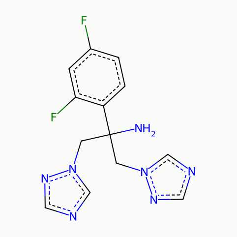 NC(Cn1cncn1)(Cn1cncn1)c1ccc(F)cc1F